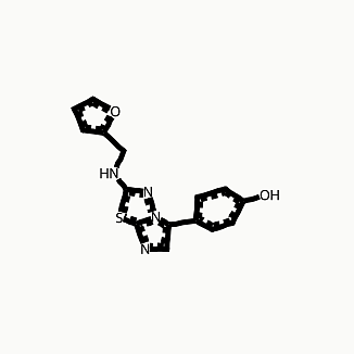 Oc1ccc(-c2cnc3sc(NCc4ccco4)nn23)cc1